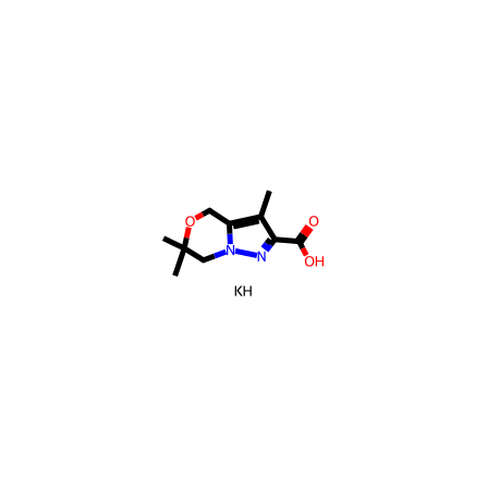 Cc1c(C(=O)O)nn2c1COC(C)(C)C2.[KH]